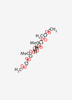 C=CC(=O)Oc1ccc(C(=O)Oc2ccc(C(=O)O[C@@H]3CO[C@H]4[C@@H]3OC[C@H]4OC(=O)c3ccc(OC(=O)c4ccc(OC(=O)C=C)cc4C)cc3OC)c(OC)c2)cc1